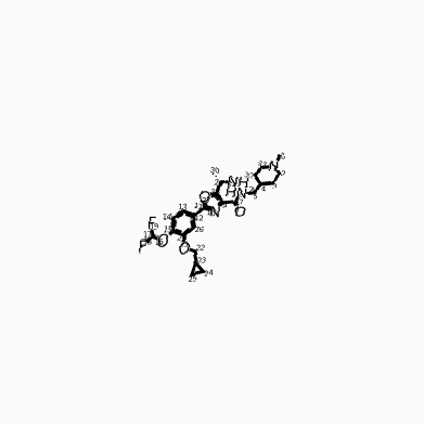 [CH2]N1CC=C(CNC(=O)c2nc(-c3ccc(OC(F)F)c(OCC4CC4)c3)oc2[C@H](C)N)CC1